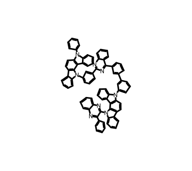 c1ccc(-c2nc3ccccc3nc2-n2c3ccccc3c3ccc4c(c5ccccc5n4-c4cccc(-c5cccc(-c6nc(-c7cccc(-n8c9ccccc9c9ccc%10c(c%11ccccc%11n%10-c%10ccccc%10)c98)c7)nc7ccccc67)c5)c4)c32)cc1